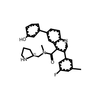 Cc1cc(F)cc(-c2cnc3ccc(-c4cccc(O)c4)cc3c2C(=O)N(C)C[C@@H]2CCCN2)c1